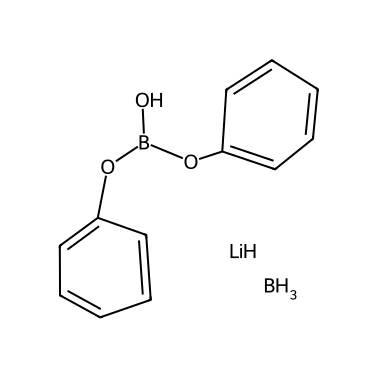 B.OB(Oc1ccccc1)Oc1ccccc1.[LiH]